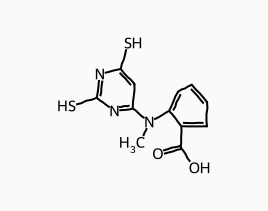 CN(c1cc(S)nc(S)n1)c1ccccc1C(=O)O